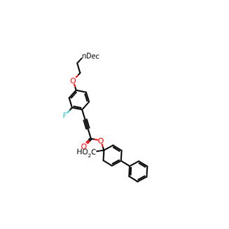 CCCCCCCCCCCCOc1ccc(C#CC(=O)OC2(C(=O)O)C=CC(c3ccccc3)=CC2)c(F)c1